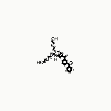 CC(c1cccc(C(=O)c2ccccc2)c1)c1cc(N/C(=N\CCOCCO)NCCOCCO)on1